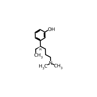 CC[C@H](CCCN(C)C)c1cccc(O)c1